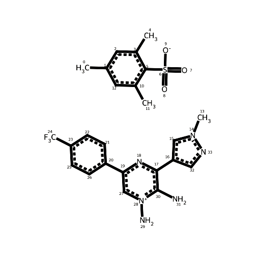 Cc1cc(C)c(S(=O)(=O)[O-])c(C)c1.Cn1cc(-c2nc(-c3ccc(C(F)(F)F)cc3)c[n+](N)c2N)cn1